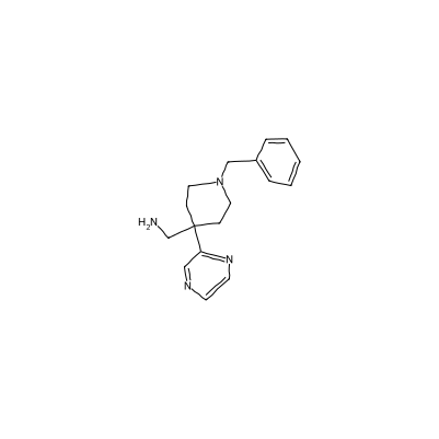 NCC1(c2cnccn2)CCN(Cc2ccccc2)CC1